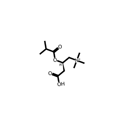 CC(C)C(=O)O[C@H](CC(=O)O)C[N+](C)(C)C